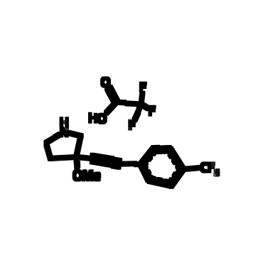 COC1(C#Cc2ccc(C(F)(F)F)cc2)CCNC1.O=C(O)C(F)(F)F